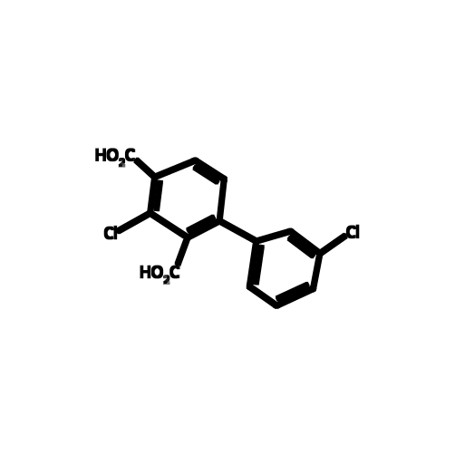 O=C(O)c1ccc(-c2cccc(Cl)c2)c(C(=O)O)c1Cl